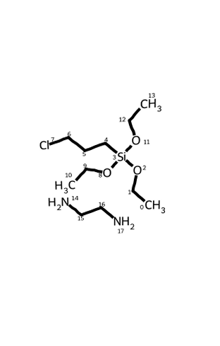 CCO[Si](CCCCl)(OCC)OCC.NCCN